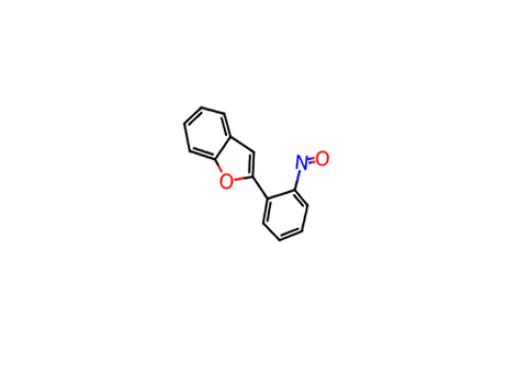 O=Nc1ccccc1-c1cc2ccccc2o1